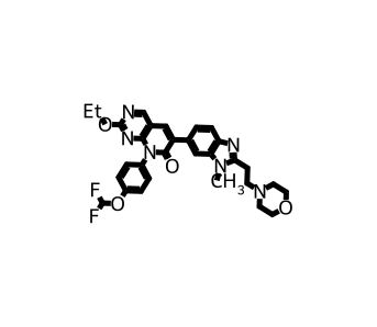 CCOc1ncc2cc(-c3ccc4nc(CCN5CCOCC5)n(C)c4c3)c(=O)n(-c3ccc(OC(F)F)cc3)c2n1